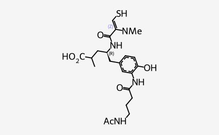 CN/C(=C\S)C(=O)N[C@@H](Cc1ccc(O)c(NC(=O)CCCNC(C)=O)c1)CC(C)C(=O)O